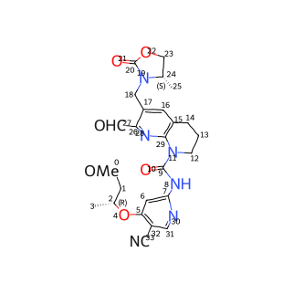 COC[C@@H](C)Oc1cc(NC(=O)N2CCCc3cc(CN4C(=O)OC[C@@H]4C)c(C=O)nc32)ncc1C#N